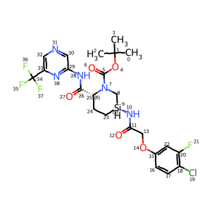 CC(C)(C)OC(=O)N1C[Si@@H](NC(=O)COc2ccc(Cl)c(F)c2)CC[C@@H]1C(=O)Nc1cncc(C(F)(F)F)n1